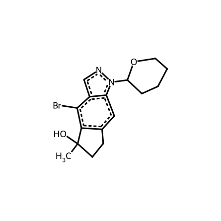 CC1(O)CCc2cc3c(cnn3C3CCCCO3)c(Br)c21